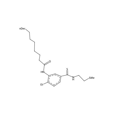 CCCCCCCCCCCCCCCCC(=O)Nc1cc(C(=S)NCCSC)ccc1CC